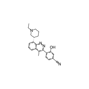 CCN1CCC[C@H](c2cccc3c(C)c(-c4ccc(C#N)cc4O)nnc23)C1